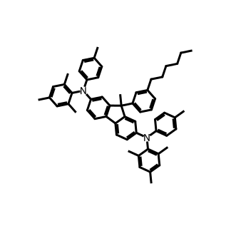 CCCCCCc1cccc(C2(C)c3cc(N(c4ccc(C)cc4)c4c(C)cc(C)cc4C)ccc3-c3ccc(N(c4ccc(C)cc4)c4c(C)cc(C)cc4C)cc32)c1